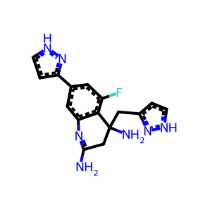 NC1=Nc2cc(-c3cc[nH]n3)cc(F)c2C(N)(Cc2cc[nH]n2)C1